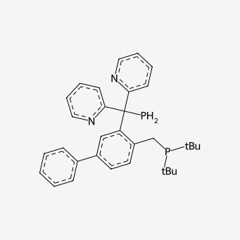 CC(C)(C)P(Cc1ccc(-c2ccccc2)cc1C(P)(c1ccccn1)c1ccccn1)C(C)(C)C